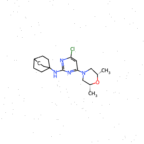 C[C@@H]1CN(c2cc(Cl)nc(NC34CCC(CC3)CC4)n2)C[C@H](C)O1